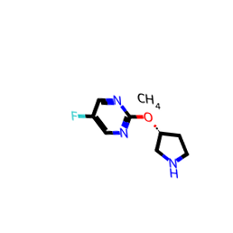 C.Fc1cnc(O[C@@H]2CCNC2)nc1